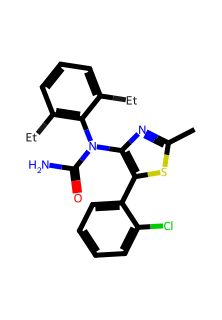 CCc1cccc(CC)c1N(C(N)=O)c1nc(C)sc1-c1ccccc1Cl